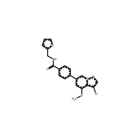 COc1cc(-c2ccc(C(=O)NCc3ccco3)cc2)cn2ncc(Cl)c12